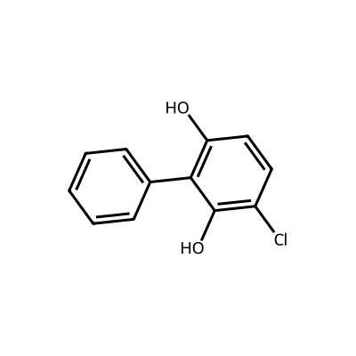 Oc1ccc(Cl)c(O)c1-c1ccccc1